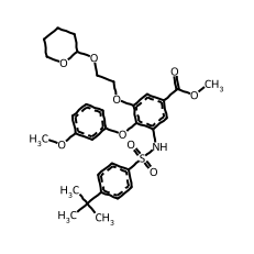 COC(=O)c1cc(NS(=O)(=O)c2ccc(C(C)(C)C)cc2)c(Oc2cccc(OC)c2)c(OCCOC2CCCCO2)c1